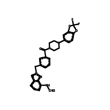 O=CNc1cccc2cn(Cc3cccc(C(=O)N4CCN(c5ccc6c(c5)OC(F)(F)O6)CC4)c3)nc12